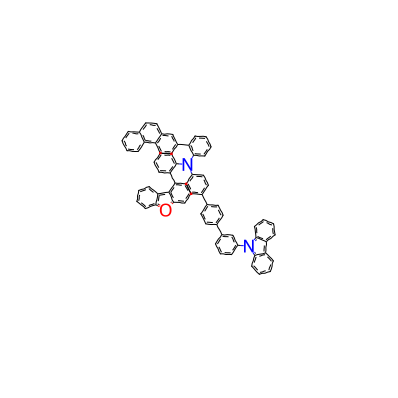 c1cc(-c2ccc(-c3ccc(N(c4ccccc4-c4ccc5c(ccc6ccccc65)c4)c4ccccc4-c4cccc5oc6ccccc6c45)cc3)cc2)cc(-n2c3ccccc3c3ccccc32)c1